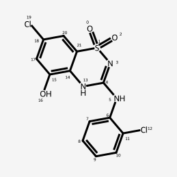 O=S1(=O)N=C(Nc2ccccc2Cl)Nc2c(O)cc(Cl)cc21